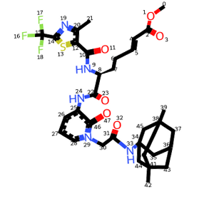 COC(=O)/C=C/CC[C@H](NC(=O)c1sc(C(F)(F)F)nc1C)C(=O)Nc1cccn(CC(=O)NC23CC4CC(C)(CC(C)(C4)C2)C3)c1=O